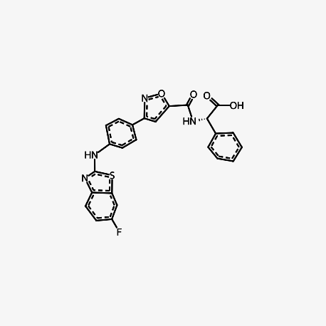 O=C(N[C@H](C(=O)O)c1ccccc1)c1cc(-c2ccc(Nc3nc4ccc(F)cc4s3)cc2)no1